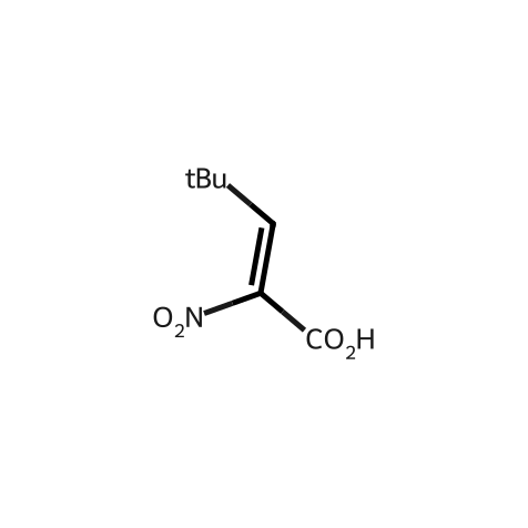 CC(C)(C)C=C(C(=O)O)[N+](=O)[O-]